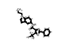 CCCn1ccc2cc(NC(=O)c3nc(-c4ccccc4)oc3C(F)(F)F)ccc21